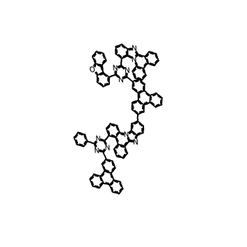 c1ccc(-c2nc(-c3ccc4c5ccccc5c5ccccc5c4c3)nc(-c3cccc4c3c3ccccc3c3nc5ccc(-c6ccc7c(c6)c6ccccc6c6ccc(-c8nc(-c9cccc%10oc%11ccccc%11c9%10)nc(-c9cccc%10nc%11c%12ccccc%12c%12ccccc%12n%11c9%10)n8)cc67)cc5n43)n2)cc1